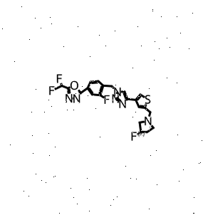 Fc1cc(-c2nnc(C(F)F)o2)ccc1Cn1cc(-c2csc(CN3CC[C@@H](F)C3)c2)nn1